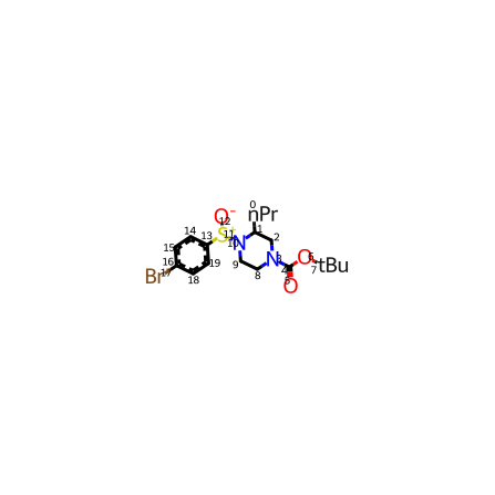 CCCC1CN(C(=O)OC(C)(C)C)CCN1[S+]([O-])c1ccc(Br)cc1